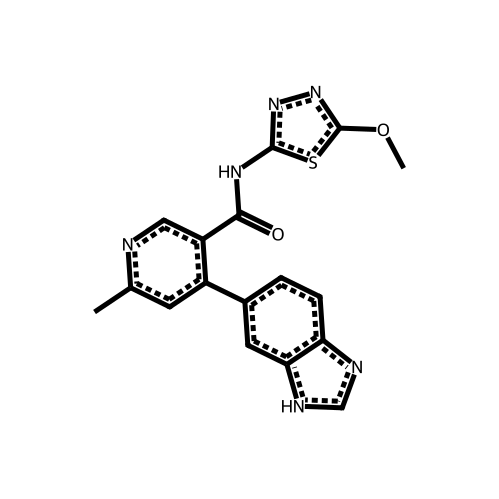 COc1nnc(NC(=O)c2cnc(C)cc2-c2ccc3nc[nH]c3c2)s1